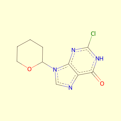 O=c1[nH]c(Cl)nc2c1ncn2C1CCCCO1